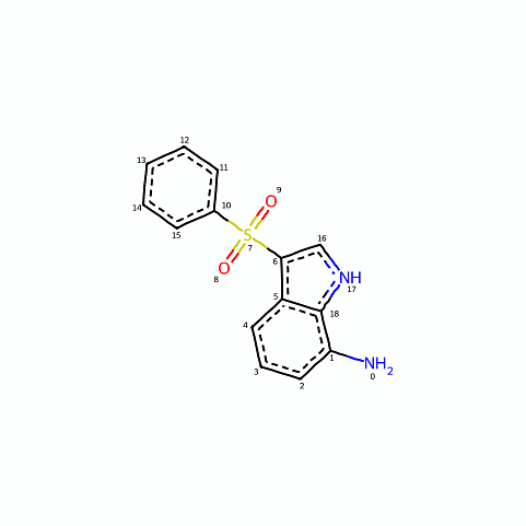 Nc1cccc2c(S(=O)(=O)c3ccccc3)c[nH]c12